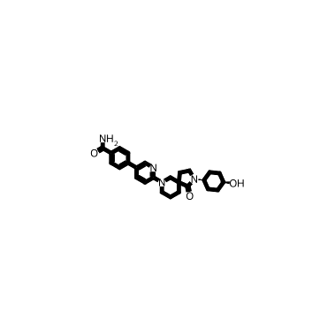 NC(=O)c1ccc(-c2ccc(N3CCCC4(CCN([C@H]5CC[C@H](O)CC5)C4=O)C3)nc2)cc1